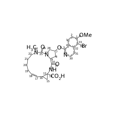 COc1ccc2c(OC3CC4C(=O)NC5(C(=O)O)CC5C=CCCCCN(C)C(=O)N4C3)nccc2c1Br